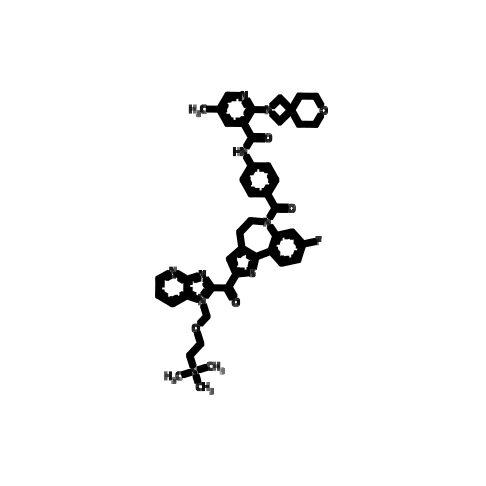 Cc1cnc(N2CC3(CCOCC3)C2)c(C(=O)Nc2ccc(C(=O)N3CCc4cc(C(=O)c5nc6ncccc6n5COCC[Si](C)(C)C)sc4-c4ccc(F)cc43)cc2)c1